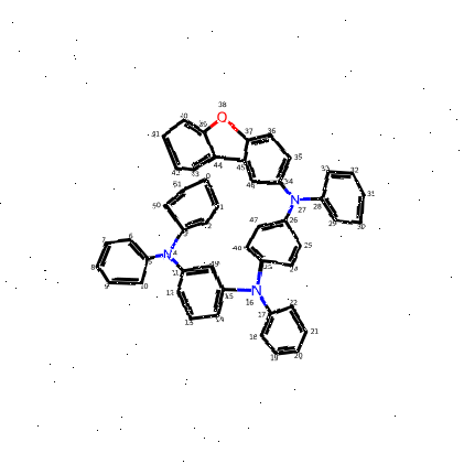 c1ccc(N(c2ccccc2)c2cccc(N(c3ccccc3)c3ccc(N(c4ccccc4)c4ccc5oc6ccccc6c5c4)cc3)c2)cc1